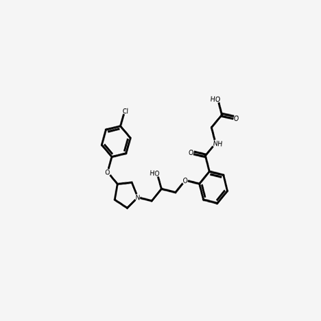 O=C(O)CNC(=O)c1ccccc1OCC(O)CN1CCC(Oc2ccc(Cl)cc2)C1